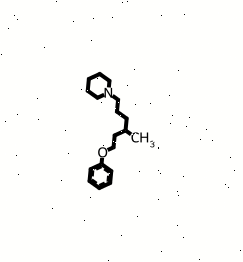 CC(CCCN1CCCCC1)CCOc1ccccc1